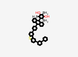 Bc1c(O)c(B)c(-c2c3ccccc3c(-c3ccc(-c4ccc5sc6ccc(-c7cccc(-c8ccccc8)c7)cc6c5c4)cc3)c3ccccc23)c(B)c1O